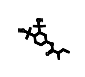 CCC(C)C(=O)OC1CCC(C(C)(C)O)C(C(C)(C)O)C1